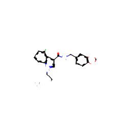 COCCn1cc(C(=O)NCc2ccc3c(c2)OCO3)c2c(Cl)cccc21